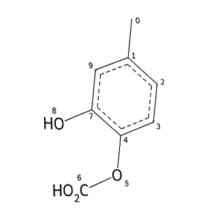 Cc1ccc(OC(=O)O)c(O)c1